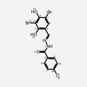 O=C(N/N=C/c1cc(Br)c(O)c(Br)c1O)c1ccc(Cl)cc1